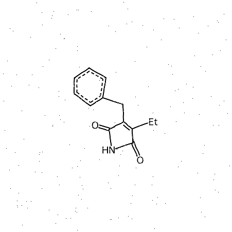 CCC1=C(Cc2ccccc2)C(=O)NC1=O